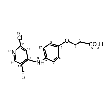 O=C(O)CCOc1ccc(Nc2cc(Cl)ncc2F)cc1